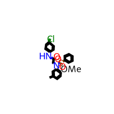 COc1ccc(C)cc1N(CC(=O)Nc1ccc(Cl)cc1)S(=O)(=O)c1ccccc1